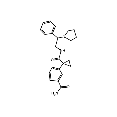 NC(=O)c1cccc(C2(C(=O)NCC(c3ccccc3)N3CCCC3)CC2)c1